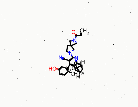 C=CC(=O)N1CC2(CCN(c3nc4c(c(-c5cc(O)ccc5C)c3C#N)C[C@H]3C[C@@H]4C3(C)C)C2)C1